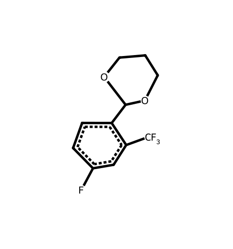 Fc1ccc(C2OCCCO2)c(C(F)(F)F)c1